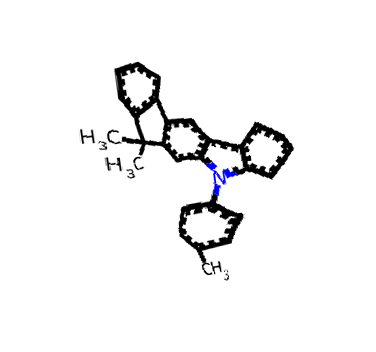 Cc1ccc(-n2c3ccccc3c3cc4c(cc32)C(C)(C)c2ccccc2-4)cc1